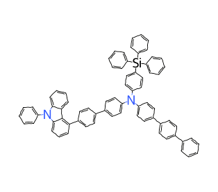 c1ccc(-c2ccc(-c3ccc(N(c4ccc(-c5ccc(-c6cccc7c6c6ccccc6n7-c6ccccc6)cc5)cc4)c4ccc([Si](c5ccccc5)(c5ccccc5)c5ccccc5)cc4)cc3)cc2)cc1